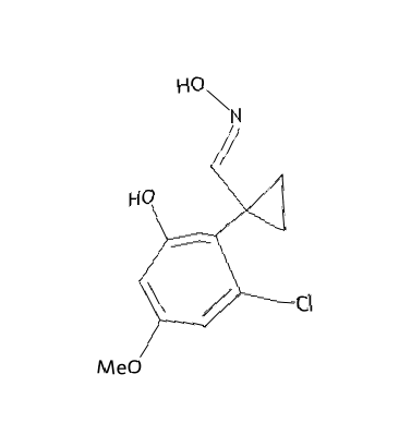 COc1cc(O)c(C2(C=NO)CC2)c(Cl)c1